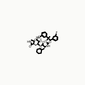 CC(C)(c1cccc(Cl)c1)[C@H](OC(=O)N[C@@H](CC1CCCCC1)C(=O)N[C@@H](C[C@@H]1CCNC1=O)C(=O)C(N)=O)c1cccc(F)c1